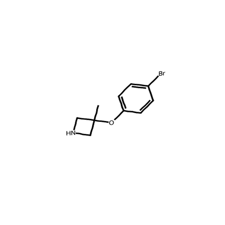 CC1(Oc2ccc(Br)cc2)CNC1